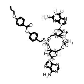 B[P@@]1(=O)OC[C@H]2O[C@@H](n3cnc4c(N)ncnc43)[C@H](F)[C@@H]2O[P@](=O)(SCc2ccc(OC(=O)c3ccc(OCCC)cc3)cc2)OC[C@H]2O[C@@H](n3cnc4c(=O)[nH]c(N)nc43)[C@H](F)[C@@H]2O1